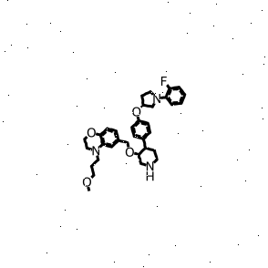 COCCCN1CCOc2ccc(COC3CNCCC3c3ccc(O[C@H]4CCN(c5ccccc5F)C4)cc3)cc21